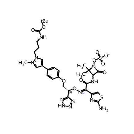 C[n+]1cc(-c2ccc(OC[C@H](O/N=C(\C(=O)NC3C(=O)N(OS(=O)(=O)[O-])C3(C)C)c3csc(N)n3)c3nn[nH]n3)cc2)cn1CCCNC(=O)OC(C)(C)C